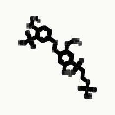 CNc1ccc(N=Nc2cc(C)c(S(=O)(=O)CCOS(=O)(=O)O)cc2OC)cc1S(=O)(=O)O